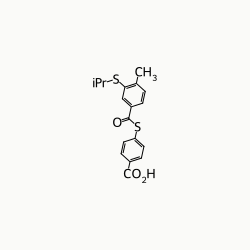 Cc1ccc(C(=O)Sc2ccc(C(=O)O)cc2)cc1SC(C)C